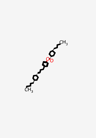 CCCCC[C@H]1CC[C@H](C=CCCc2ccc(OC(=O)[C@H]3CC[C@H](CCCCC)CC3)cc2)CC1